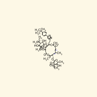 CC[C@H]1OC(=O)C[C@@H](O)[C@H](C)[C@@H](O[C@@H]2O[C@H](C)[C@@H](O)C(N(C)C)C2O)[C@@H](CCn2cc(-c3ccc(C(C)(C)C)cc3)nn2)C[C@@H](C)C(=O)/C=C/C(C)=C/[C@@H]1COC1=C(OC)[C@@H](OC)[C@H](O)C(C)O1